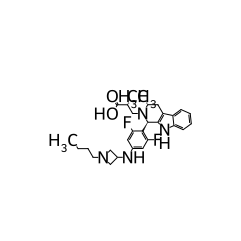 CCCCN1CC(Nc2cc(F)c([C@@H]3c4[nH]c5ccccc5c4C[C@@H](C)N3C[C@@H](C)C(=O)O)c(F)c2)C1